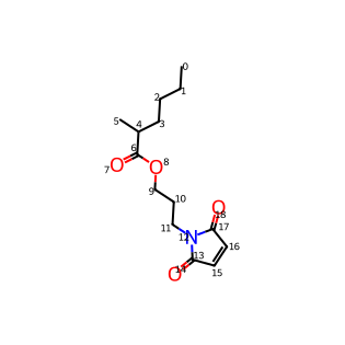 CCCCC(C)C(=O)OCCCN1C(=O)C=CC1=O